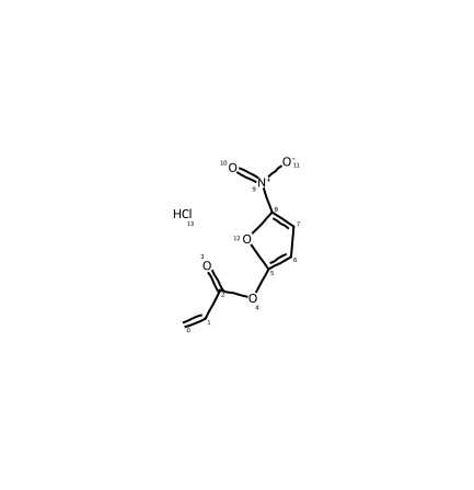 C=CC(=O)Oc1ccc([N+](=O)[O-])o1.Cl